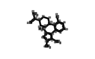 Cc1nn(C)c(C)c1-c1cncc(Cl)c1N1CCC(C(N)=O)CC1